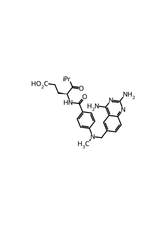 CC(C)C(=O)[C@H](CCC(=O)O)NC(=O)c1ccc(N(C)Cc2ccc3nc(N)nc(N)c3c2)cc1